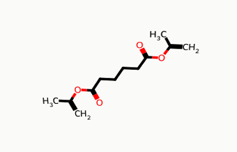 C=C(C)OC(=O)CCCCC(=O)OC(=C)C